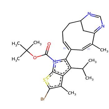 C/C1=C/C(c2c(C(C)C)c3c(C)c(Br)sc3n2C(=O)OC(C)(C)C)=C\CCC2CC1=NC=N2